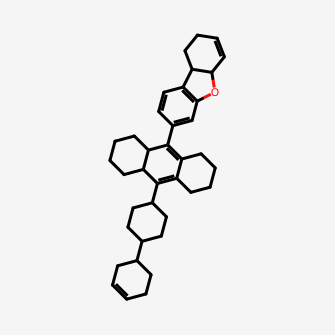 C1=CCC(C2CCC(C3=C4CCCCC4=C(c4ccc5c(c4)OC4C=CCCC54)C4CCCCC34)CC2)CC1